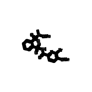 COc1ccc(C(=O)NS(=O)(=O)c2ccccc2S(=O)(=O)N(C)OC)nc1Br